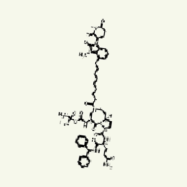 Cn1c(=O)n(C2CCC(=O)NC2=O)c2cccc(CCCCCCCCC(=O)N3CC[C@H]4CC[C@@H](C(=O)N[C@@H](CCC(N)=O)C(=O)NC(c5ccccc5)c5ccccc5)N4C(=O)[C@@H](NC(=O)OC(C)(C)C)C3)c21